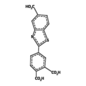 O=C(O)c1ccc2sc(-c3ccc(C(=O)O)c(C(=O)O)c3)nc2c1